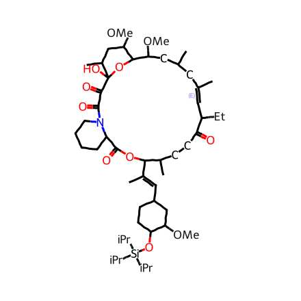 CCC1/C=C(\C)CC(C)CC(OC)C2OC(O)(C(=O)C(=O)N3CCCCC3C(=O)OC(C(C)=CC3CCC(O[Si](C(C)C)(C(C)C)C(C)C)C(OC)C3)C(C)CCC1=O)C(C)CC2OC